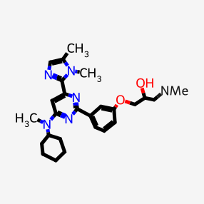 CNCC(O)COc1cccc(-c2nc(-c3ncc(C)n3C)cc(N(C)C3CCCCC3)n2)c1